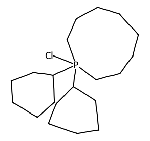 ClP1(C2CCCCC2)(C2CCCCC2)CCCCCCCC1